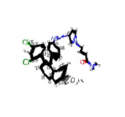 CN(C)C(=O)C=CCN1CC[C@H](Nc2ccc(C3=C(c4ccc(Cl)cc4Cl)CCCc4cc(C(=O)O)ccc43)cc2)C1